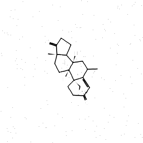 COC[C@]12CCC(=O)C=C1C(C)C[C@@H]1[C@H]2CC[C@]2(C)C(=O)CC[C@@H]12